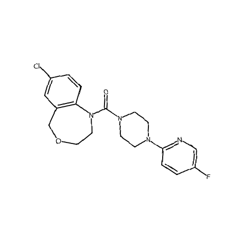 O=C(N1CCN(c2ccc(F)cn2)CC1)N1CCOCc2cc(Cl)ccc21